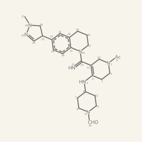 CC(=O)N1CCC(NC2CCN(C=O)CC2)=C(C(=N)N2CCCc3cc(C4C=NN(C)C4)ccc32)C1